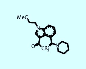 COCCn1cc(C(=O)C(F)(F)F)c2c(C(=O)N3CCCCC3)cccc21